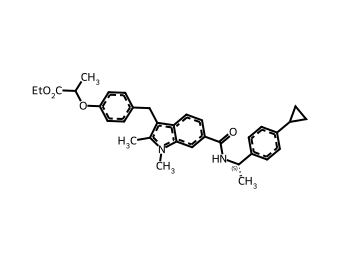 CCOC(=O)C(C)Oc1ccc(Cc2c(C)n(C)c3cc(C(=O)N[C@@H](C)c4ccc(C5CC5)cc4)ccc23)cc1